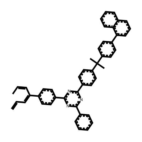 C=C/C=C(\C=C/C)c1ccc(-c2nc(-c3ccccc3)nc(-c3ccc(C(C)(C)c4ccc(-c5cccc6ccccc56)cc4)cc3)n2)cc1